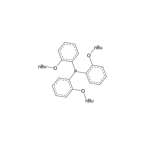 CCCCOc1ccccc1P(c1ccccc1OCCCC)c1ccccc1OCCCC